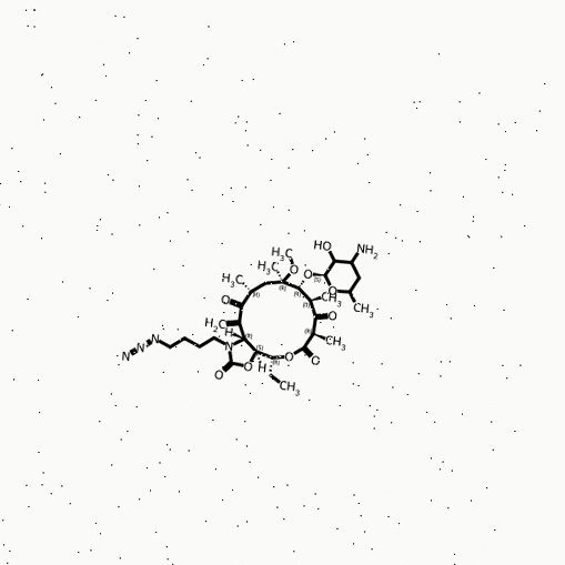 C=C1C(=O)[C@H](C)C[C@@](C)(OC)[C@H](O[C@@H]2OC(C)CC(N)C2O)[C@@H](C)C(=O)[C@@H](C)C(=O)O[C@H](CC)[C@H]2OC(=O)N(CCCCN=[N+]=[N-])[C@H]12